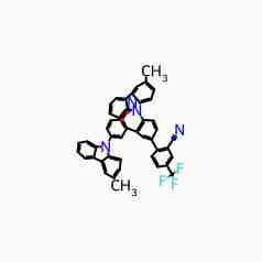 Cc1ccc2c(c1)c1ccccc1n2-c1ccc(C#N)c(-c2cc(-c3ccc(C(F)(F)F)cc3C#N)ccc2-n2c3ccccc3c3cc(C)ccc32)c1